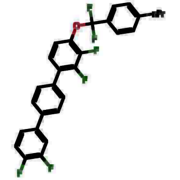 CCCc1ccc(C(F)(F)Oc2ccc(-c3ccc(-c4ccc(F)c(F)c4)cc3)c(F)c2F)cc1